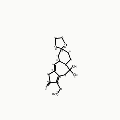 CC(=O)OCC1=C2CC(C#N)(C#N)C3CCC4(CC3C=C2CC1=O)OCCO4